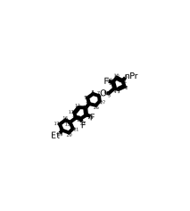 CCCc1ccc(COC2CCC(c3ccc(C4CCC(CC)CC4)c(F)c3F)CC2)c(F)c1